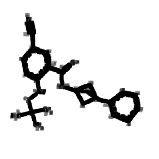 CC(C)(C)SNc1ccc(C#N)cc1C(=O)NC12CC(c3ccccc3)(C1)C2